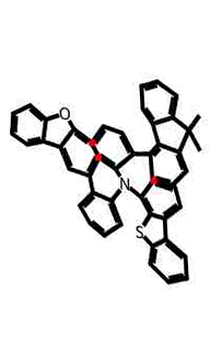 CC1(C)c2ccccc2-c2c(-c3ccccc3N(c3ccccc3-c3ccc4oc5ccccc5c4c3)c3cccc4c3sc3ccccc34)cccc21